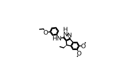 CCOc1cccc(Nc2[nH]nc3c2[C@H](CC)c2cc(OC)c(OC)cc2-3)c1